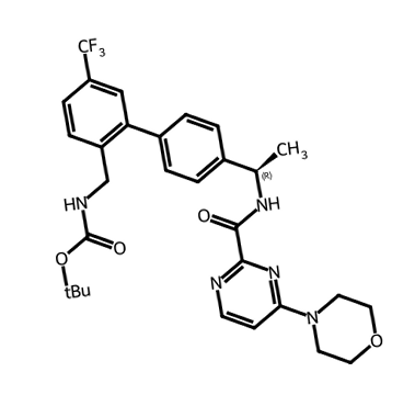 C[C@@H](NC(=O)c1nccc(N2CCOCC2)n1)c1ccc(-c2cc(C(F)(F)F)ccc2CNC(=O)OC(C)(C)C)cc1